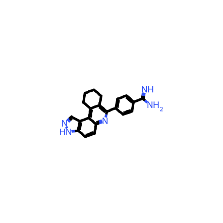 N=C(N)c1ccc(-c2nc3ccc4[nH]ncc4c3c3c2CCCC3)cc1